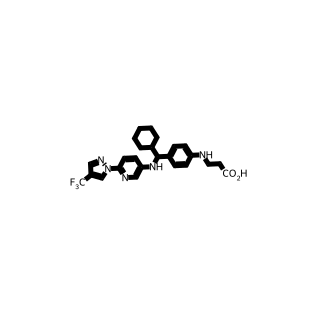 O=C(O)CCNc1ccc(C(Nc2ccc(-n3cc(C(F)(F)F)cn3)nc2)C2CCCCC2)cc1